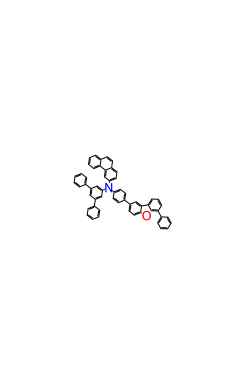 c1ccc(-c2cc(-c3ccccc3)cc(N(c3ccc(-c4ccc5oc6c(-c7ccccc7)cccc6c5c4)cc3)c3ccc4ccc5ccccc5c4c3)c2)cc1